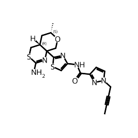 CC#CCn1ccc(C(=O)Nc2csc(C34CO[C@@H](C)C[C@H]3CSC(N)=N4)n2)n1